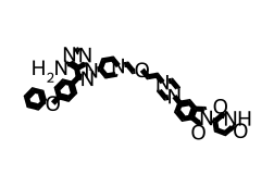 Nc1ncnc2c1c(-c1ccc(Oc3ccccc3)cc1)nn2C1CCN(CCOCCN2CCN(c3ccc4c(c3)CN(C3CCC(=O)NC3=O)C4=O)CC2)CC1